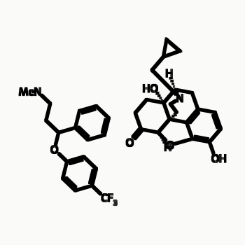 CNCCC(Oc1ccc(C(F)(F)F)cc1)c1ccccc1.O=C1CC[C@@]2(O)[C@H]3Cc4ccc(O)c5c4[C@@]2(CCN3CC2CC2)[C@H]1O5